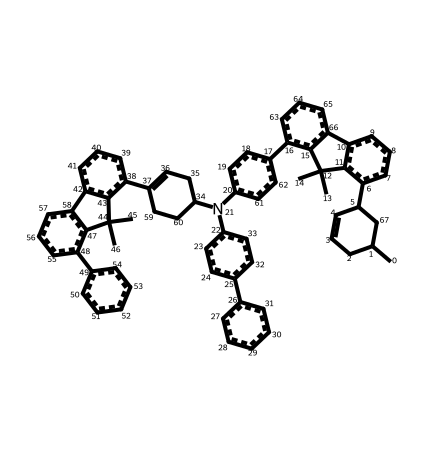 CC1CC=CC(c2cccc3c2C(C)(C)c2c(-c4ccc(N(c5ccc(-c6ccccc6)cc5)C5CC=C(c6cccc7c6C(C)(C)c6c(-c8ccccc8)cccc6-7)CC5)cc4)cccc2-3)C1